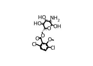 COc1c(Cl)ccc(Cl)c1C(=O)OC[C@H]1OC(O)[C@H](N)[C@@H](O)[C@@H]1O